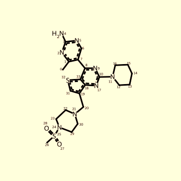 Cc1nc(N)ncc1-c1nc(N2CCCCC2)nc2c(CN3CCN(S(C)(=O)=O)CC3)csc12